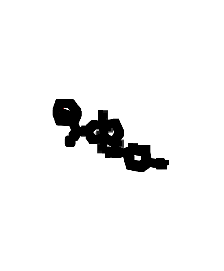 O=C(C1CC2CCC1CC2)N1C[C@@H]2CC[C@@H](Nc3ccc(Br)nn3)[C@@H]2C1